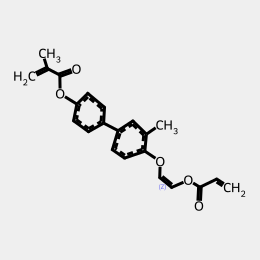 C=CC(=O)O/C=C\Oc1ccc(-c2ccc(OC(=O)C(=C)C)cc2)cc1C